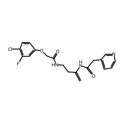 C=C(CCNC(=O)COc1ccc(Cl)c(F)c1)NC(=O)Cc1cccnc1